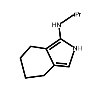 CC(C)Nc1[nH]cc2c1CCCC2